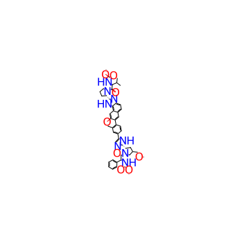 COCC1C[C@@H](c2ncc(-c3ccc4c(c3)COc3cc5c(ccc6nc([C@@H]7CC[C@H](C)N7C(=O)[C@@H](NC(=O)OC)C(C)C)[nH]c65)cc3-4)[nH]2)N(C(=O)C(NC(=O)OC)c2ccccc2)C1